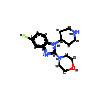 Fc1ccc2c(c1)nc(N1CCOCC1)n2C1CCNCC1